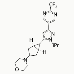 CC(C)n1nc(-c2cnc(C(F)(F)F)nc2)cc1C1[C@H]2CC(N3CCOCC3)C[C@@H]12